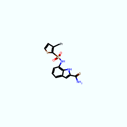 CC(C)c1ccsc1S(=O)(=O)Nc1cccc2cc(C(N)=S)[nH]c12